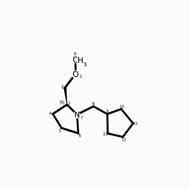 COC[C@@H]1CCCN1CC1CCCC1